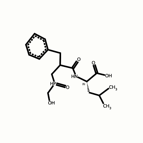 CC(C)C[C@H](NC(=O)C(Cc1ccccc1)C[PH](=O)CO)C(=O)O